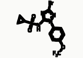 O=S(=O)(Nc1nc(Br)nn1-c1ccc(OC(F)(F)F)cc1)C1CC1